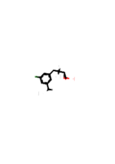 CC(C)c1cc(Cl)cc(CC(C)(C)CC(=O)O)c1